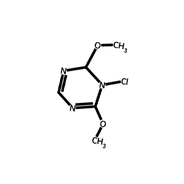 COC1=NC=NC(OC)N1Cl